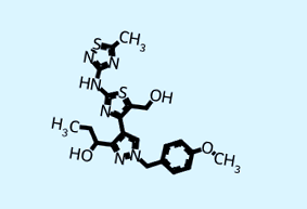 CCC(O)c1nn(Cc2ccc(OC)cc2)cc1-c1nc(Nc2nsc(C)n2)sc1CO